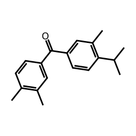 Cc1ccc(C(=O)c2ccc(C(C)C)c(C)c2)cc1C